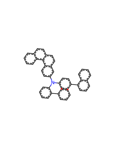 c1ccc(-c2ccccc2N(c2ccc(-c3cccc4ccccc34)cc2)c2ccc3c(ccc4ccc5ccccc5c43)c2)cc1